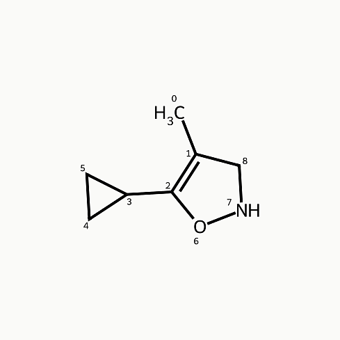 CC1=C(C2CC2)ONC1